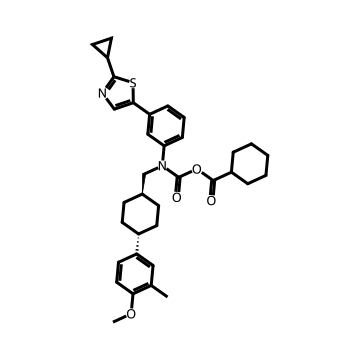 COc1ccc([C@H]2CC[C@H](CN(C(=O)OC(=O)C3CCCCC3)c3cccc(-c4cnc(C5CC5)s4)c3)CC2)cc1C